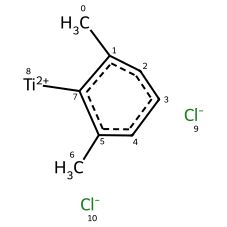 Cc1cccc(C)[c]1[Ti+2].[Cl-].[Cl-]